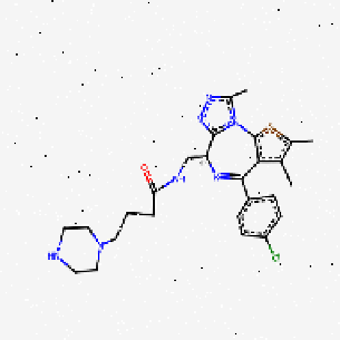 Cc1sc2c(c1C)C(c1ccc(Cl)cc1)=N[C@@H](CNC(=O)CCCN1CCNCC1)c1nnc(C)n1-2